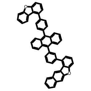 c1cc(-c2c3ccccc3c(-c3ccc(-c4cccc5oc6ccccc6c45)cc3)c3ccccc23)cc(-c2cccc3oc4cc5ccccc5cc4c23)c1